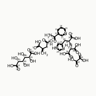 C=C(CC(=O)O)C(=O)O.NC(=O)c1cccnc1.N[C@@H](Cc1c[nH]cn1)C(=O)O.O=C(O)C(=O)O.O=C(O)CC(=O)O.O=C(O)[C@@H](O)[C@@H](O)[C@H](O)[C@@H](O)C(=O)O